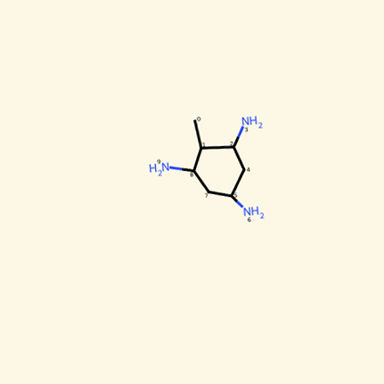 CC1C(N)CC(N)CC1N